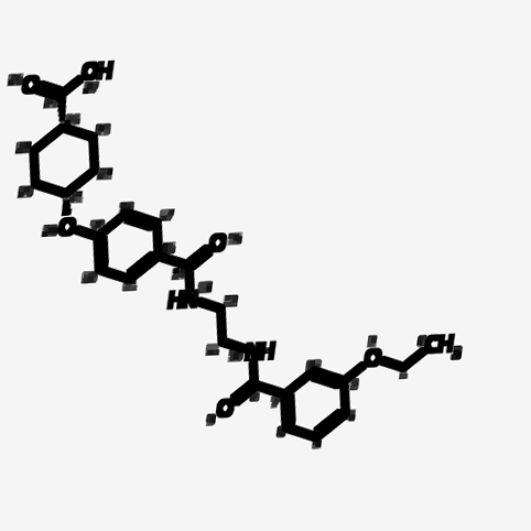 CCOc1cccc(C(=O)NCCNC(=O)c2ccc(O[C@H]3CC[C@@H](C(=O)O)CC3)cc2)c1